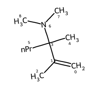 C=C(C)C(C)(CCC)N(C)C